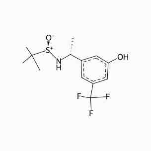 C[C@@H](N[S@+]([O-])C(C)(C)C)c1cc(O)cc(C(F)(F)F)c1